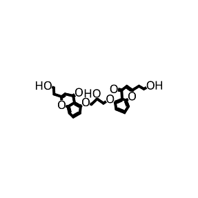 O=c1cc(CCO)oc2cccc(OCC(O)COc3cccc4oc(CCO)cc(=O)c34)c12